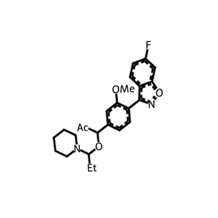 CCC(OC(C(C)=O)c1ccc(-c2noc3cc(F)ccc23)c(OC)c1)N1CCCCC1